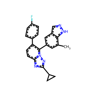 Cc1cc(-c2c(-c3ccc(F)cc3)ccc3nc(C4CC4)nn23)cc2cn[nH]c12